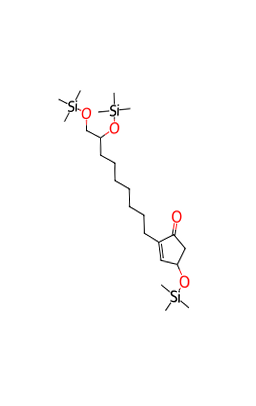 C[Si](C)(C)OCC(CCCCCCCC1=CC(O[Si](C)(C)C)CC1=O)O[Si](C)(C)C